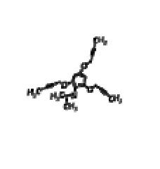 CC#CCOc1cc(OCC#CC)c(N=C(C)C)c(OCC#CC)c1